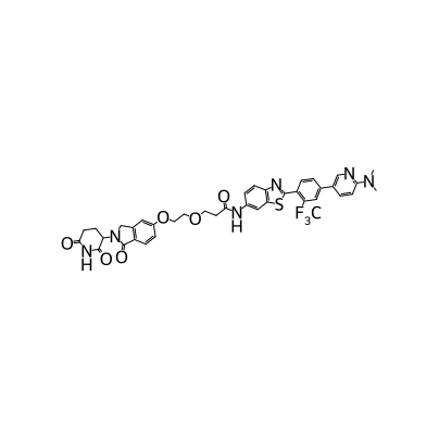 CN(C)c1ccc(-c2ccc(-c3nc4ccc(NC(=O)CCOCCOc5ccc6c(c5)CN(C5CCC(=O)NC5=O)C6=O)cc4s3)c(C(F)(F)F)c2)cn1